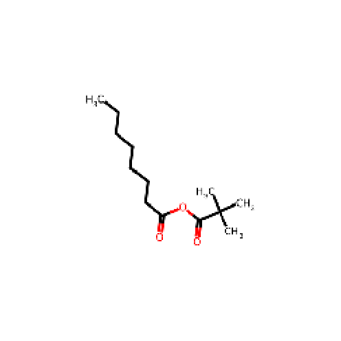 CCCCCCCC(=O)OC(=O)C(C)(C)C